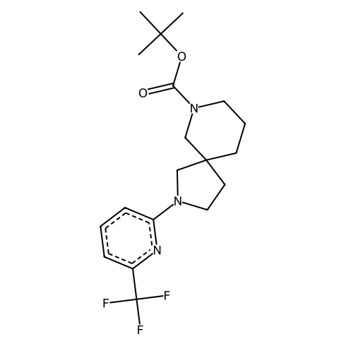 CC(C)(C)OC(=O)N1CCCC2(CCN(c3cccc(C(F)(F)F)n3)C2)C1